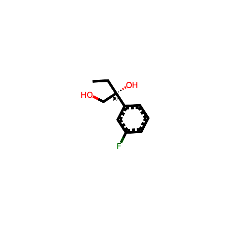 CC[C@](O)(CO)c1cccc(F)c1